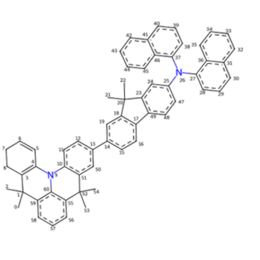 CC1(C)C2=C(C=CCC2)N2c3ccc(-c4ccc5c(c4)C(C)(C)c4cc(N(c6cccc7ccccc67)c6cccc7ccccc67)ccc4-5)cc3C(C)(C)c3cccc1c32